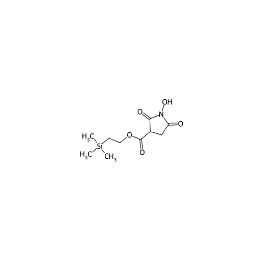 C[Si](C)(C)CCOC(=O)C1CC(=O)N(O)C1=O